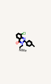 CNCCn1c(-c2ccc(C)cc2)nc2c(Cl)cccc2c1=O